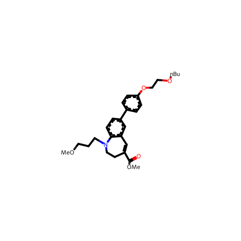 CCCCOCCOc1ccc(-c2ccc3c(c2)C=C(C(=O)OC)CCN3CCCOC)cc1